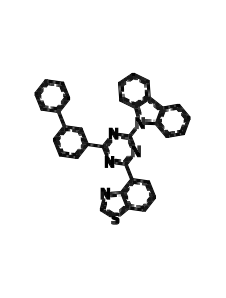 c1ccc(-c2cccc(-c3nc(-c4cccc5scnc45)nc(-n4c5ccccc5c5ccccc54)n3)c2)cc1